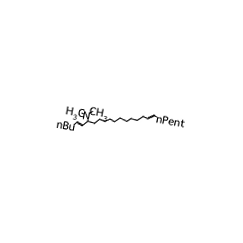 CCCCC=CC(CCCCCCCCCCC=CCCCCC)N(C)C